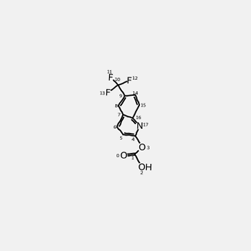 O=C(O)Oc1ccc2cc(C(F)(F)F)ccc2n1